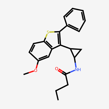 CCCC(=O)NC1CC1c1c(-c2ccccc2)sc2ccc(OC)cc12